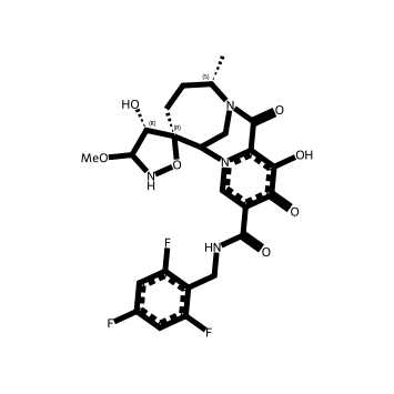 COC1NO[C@@]2(CC[C@H](C)N3CC2n2cc(C(=O)NCc4c(F)cc(F)cc4F)c(=O)c(O)c2C3=O)[C@H]1O